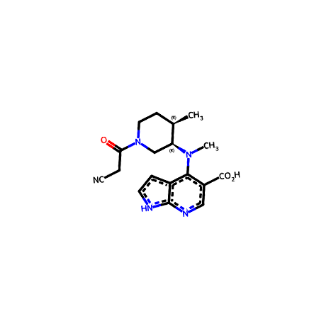 C[C@@H]1CCN(C(=O)CC#N)C[C@@H]1N(C)c1c(C(=O)O)cnc2[nH]ccc12